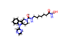 O=C(CCCCCCNC(=O)N1CCc2c(c3ccccc3n2-c2cnccn2)C1)NO